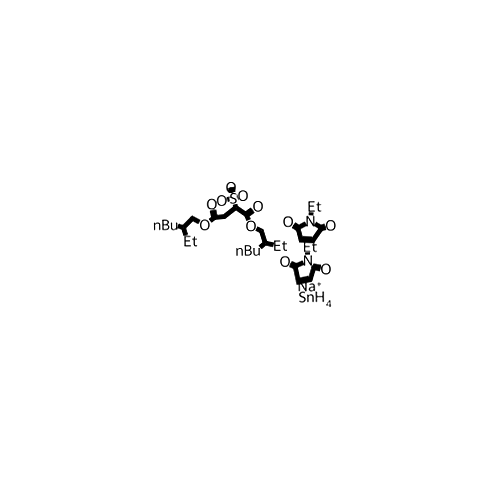 CCCCC(CC)COC(=O)CC(C(=O)OCC(CC)CCCC)S(=O)(=O)[O-].CCN1C(=O)C=CC1=O.CCN1C(=O)C=CC1=O.[Na+].[SnH4]